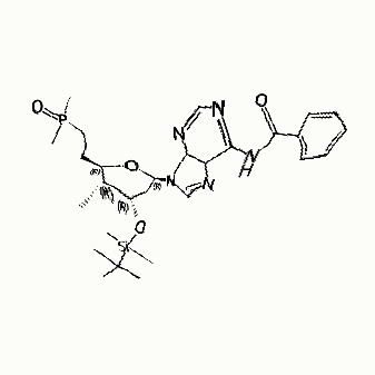 C[C@H]1[C@@H](O[Si](C)(C)C(C)(C)C)[C@H](N2C=NC3C(NC(=O)c4ccccc4)=NC=NC32)O[C@@H]1CCP(C)(C)=O